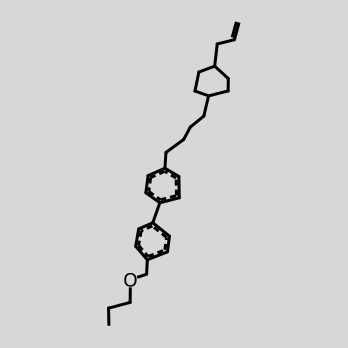 C=CCC1CCC(CCCCc2ccc(-c3ccc(COCCC)cc3)cc2)CC1